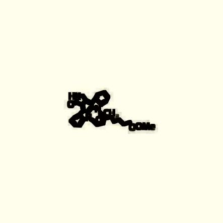 COOCCCCCC1CCC2O[C@]1(C)n1c3ccccc3c3c4c(c5c6ccccc6n2c5c31)C(=O)NC4